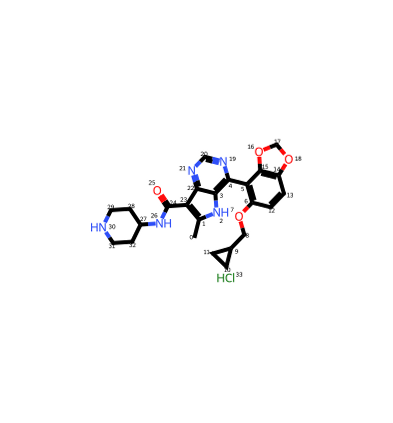 Cc1[nH]c2c(-c3c(OCC4CC4)ccc4c3OCO4)ncnc2c1C(=O)NC1CCNCC1.Cl